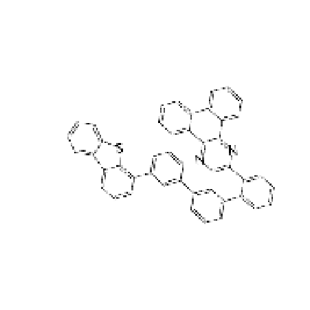 c1cc(-c2cccc(-c3cccc4c3sc3ccccc34)c2)cc(-c2ccccc2-c2cnc3c4ccccc4c4ccccc4c3n2)c1